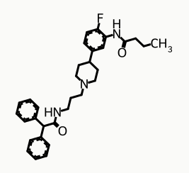 CCCC(=O)Nc1cc(C2CCN(CCCNC(=O)C(c3ccccc3)c3ccccc3)CC2)ccc1F